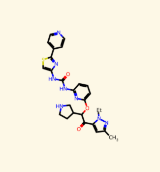 CCn1nc(C)cc1C(=O)C(Oc1cccc(NC(=O)Nc2csc(-c3ccncc3)n2)n1)C1CCNC1